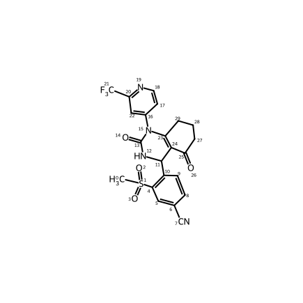 CS(=O)(=O)c1cc(C#N)ccc1C1NC(=O)N(c2ccnc(C(F)(F)F)c2)C2=C1C(=O)CCC2